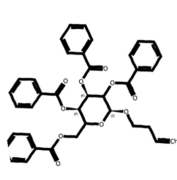 C=CCCO[C@H]1OC(COC(=O)c2ccccc2)[C@@H](OC(=O)c2ccccc2)[C@@H](OC(=O)c2ccccc2)C1OC(=O)c1ccccc1